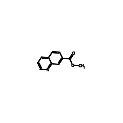 COC(=O)c1ccc2cc[c]nc2c1